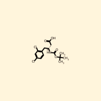 CC(C)(C)OC(=O)N[C@@H](CC(=O)O)Cc1ccc(Cl)cc1Cl